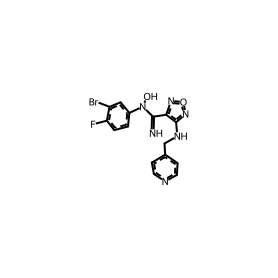 N=C(c1nonc1NCc1ccncc1)N(O)c1ccc(F)c(Br)c1